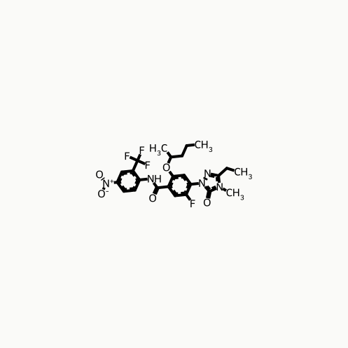 CCCC(C)Oc1cc(-n2nc(CC)n(C)c2=O)c(F)cc1C(=O)Nc1ccc([N+](=O)[O-])cc1C(F)(F)F